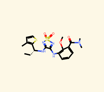 CC[C@@H](NC1=NS(=O)(=O)N=C1Nc1cccc(C(=O)N(C)C)c1OC)c1sccc1C